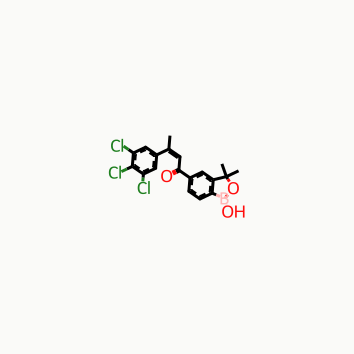 CC(=CC(=O)c1ccc2c(c1)C(C)(C)OB2O)c1cc(Cl)c(Cl)c(Cl)c1